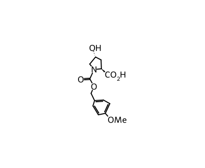 COc1ccc(COC(=O)N2C[C@H](O)C[C@H]2C(=O)O)cc1